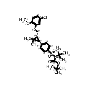 COc1ccc(Cl)cc1SC[C@@H]1[C@@H](c2ccc(S(=O)(=O)N(C(=O)OC(C)(C)C)C(C)(C)C)cc2)C1(C)C